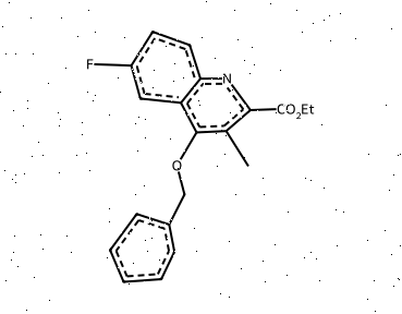 CCOC(=O)c1nc2ccc(F)cc2c(OCc2ccccc2)c1C